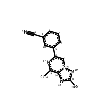 N#Cc1cccc(-c2cn3nc(Br)nc3c(Cl)n2)c1